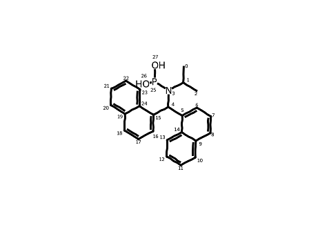 CC(C)N(C(c1cccc2ccccc12)c1cccc2ccccc12)P(O)O